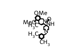 COc1cc2c(c(OC)c1)C(C)C=C1N(C2)C(=O)NC12CCN(Cc1cc(C)cc(C)c1)CC2